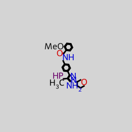 COc1ccccc1C(=O)NCc1ccc(-c2nn(C3CCCOC3)c(N)c2C(C)=P)cc1